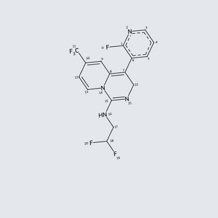 Fc1ncccc1C1=C2C=C(C(F)(F)F)C=CN2C(NCC(F)F)=NC1